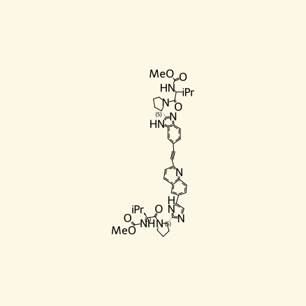 COC(=O)NC(C(=O)N1CCC[C@H]1c1nc2ccc(C#Cc3ccc4cc(-c5cnc([C@@H]6CCCN6C(=O)[C@@H](NC(=O)OC)C(C)C)[nH]5)ccc4n3)cc2[nH]1)C(C)C